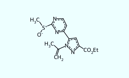 C=C(C)n1nc(C(=O)OCC)cc1-c1ccnc([S+](C)[O-])n1